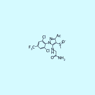 CC(=O)c1nn(-c2c(Cl)cc(C(F)(F)F)cc2Cl)c(NCC(N)=O)c1[S+](C)[O-]